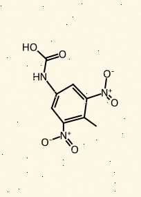 Cc1c([N+](=O)[O-])cc(NC(=O)O)cc1[N+](=O)[O-]